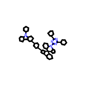 c1ccc(-c2nc(-c3ccccc3)nc(N3c4ccccc4C4(c5ccccc5-c5ccc(-c6ccc(-c7ccc8c(c7)c7ccccc7n8-c7ccccc7)cc6)cc54)c4ccccc43)n2)cc1